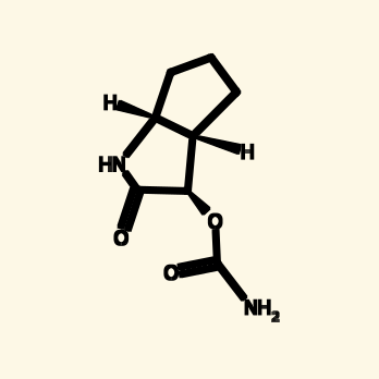 NC(=O)O[C@H]1C(=O)N[C@@H]2CCC[C@@H]21